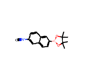 [C-]#[N+]c1ccc2cc(B3OC(C)(C)C(C)(C)O3)ccc2c1